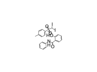 Cc1ccc(S(=O)(=O)C(I)I)cc1.O=C(Nc1ccccc1)c1ccccc1O